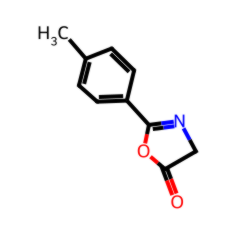 Cc1ccc(C2=NCC(=O)O2)cc1